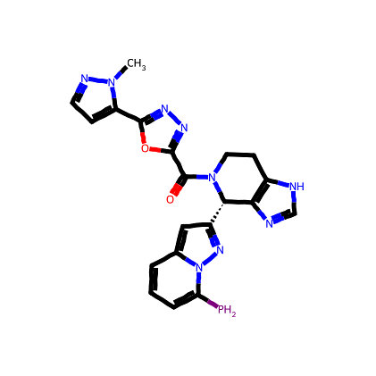 Cn1nccc1-c1nnc(C(=O)N2CCc3[nH]cnc3[C@@H]2c2cc3cccc(P)n3n2)o1